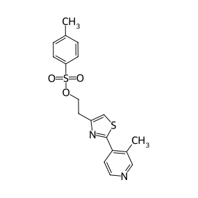 Cc1ccc(S(=O)(=O)OCCc2csc(-c3ccncc3C)n2)cc1